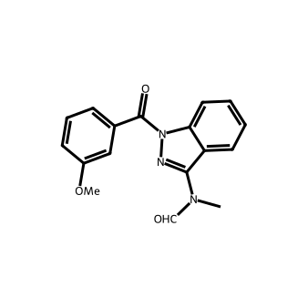 COc1cccc(C(=O)n2nc(N(C)C=O)c3ccccc32)c1